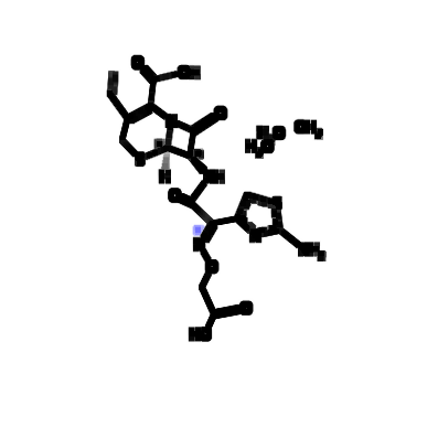 C=CC1=C(C(=O)O)N2C(=O)[C@@H](NC(=O)/C(=N/OCC(=O)O)c3csc(N)n3)[C@H]2SC1.O.O.O